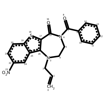 C=CCN1CCN(C(=O)c2ccccc2)C(=O)c2sc3ccc([N+](=O)[O-])cc3c21